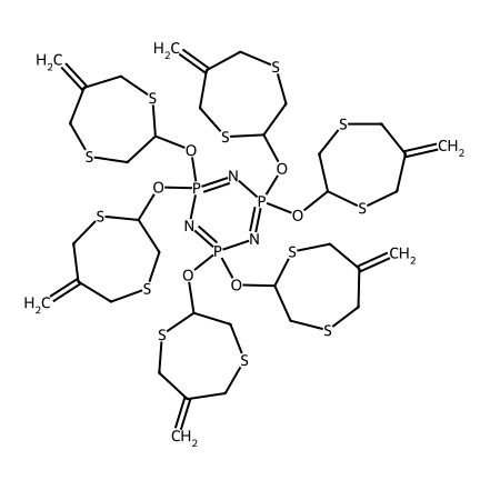 C=C1CSCC(OP2(OC3CSCC(=C)CS3)=NP(OC3CSCC(=C)CS3)(OC3CSCC(=C)CS3)=NP(OC3CSCC(=C)CS3)(OC3CSCC(=C)CS3)=N2)SC1